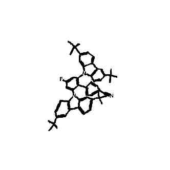 CC(C)(C)c1ccc2c(c1)c1ccc(C(C)(C)C)cc1n2-c1cc(F)cc(-n2c3ccc(C(C)(C)C)cc3c3ccc(C(C)(C)C)cc32)c1-c1ccc(C#N)cc1